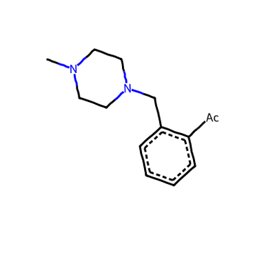 CC(=O)c1ccccc1CN1CCN(C)CC1